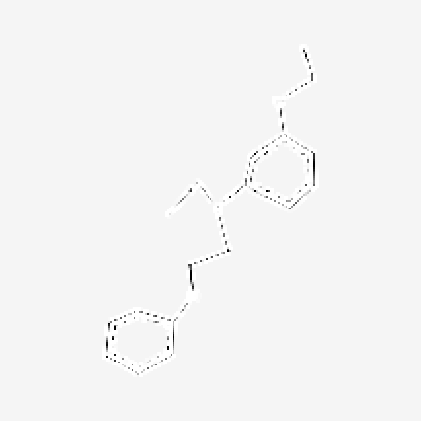 CCOc1cccc(N(CC)CCOc2ccccc2)c1